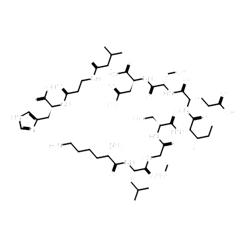 CC[C@H](C)[C@H](NC(=O)[C@H](CO)NC(=O)[C@H](CO)NC(=O)[C@H](CC(C)C)NC(=O)[C@@H](N)CCCCN)C(=O)N[C@@H](CCC(=O)O)C(=O)N[C@@H](CO)C(=O)N[C@@H](CC(=O)O)C(=O)N[C@H](C(=O)NCCC(=O)N[C@@H](Cc1c[nH]cn1)C(=O)O)C(C)C